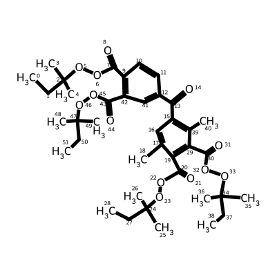 CCC(C)(C)OOC(=O)c1ccc(C(=O)c2cc(C)c(C(=O)OOC(C)(C)CC)c(C(=O)OOC(C)(C)CC)c2C)cc1C(=O)OOC(C)(C)CC